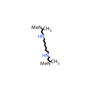 CN[C@@H](C)CCNCCCCCCCNCC[C@H](C)NC